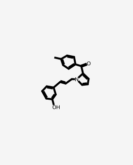 Cc1ccc(C(=O)c2cccn2CC=Cc2cccc(O)c2)cc1